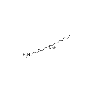 CCCCCCCCCCCCOCCCN.[NaH]